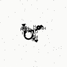 CC(C)(C)OC(=O)N[C@H]1CCCCC/C=C\[C@@H]2C[C@@]2(C(=O)NS(=O)(=O)C2CC2)NC(=O)[C@@H]2C[C@@H](NC(=O)c3ccc4cc[nH]c4c3)CN2C1=O